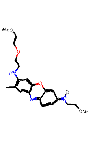 CC/[N+](CCOC)=c1/ccc2nc3cc(C)c(NCCOCCOC)cc3oc-2c1